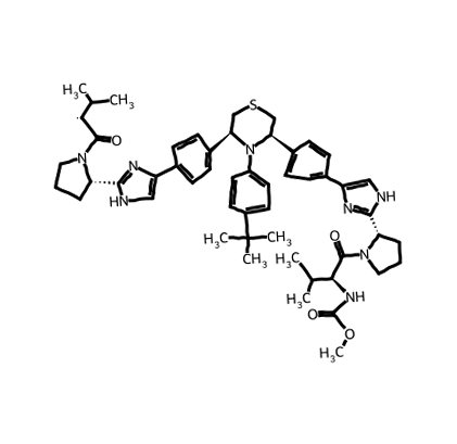 COC(=O)N[C@H](C(=O)N1CCC[C@H]1c1nc(-c2ccc([C@@H]3CSC[C@H](c4ccc(-c5c[nH]c([C@@H]6CCCN6C(=O)[CH]C(C)C)n5)cc4)N3c3ccc(C(C)(C)C)cc3)cc2)c[nH]1)C(C)C